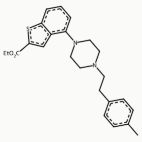 CCOC(=O)c1cc2c(N3CCN(CCc4ccc(C)cc4)CC3)cccc2s1